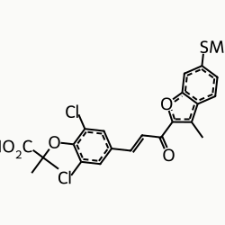 CSc1ccc2c(C)c(C(=O)/C=C/c3cc(Cl)c(OC(C)(C)C(=O)O)c(Cl)c3)oc2c1